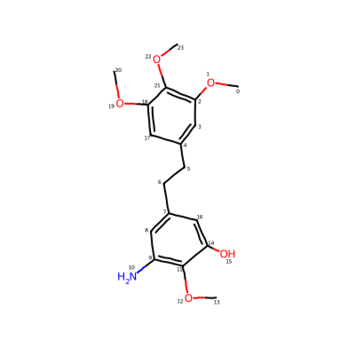 COc1cc(CCc2cc(N)c(OC)c(O)c2)cc(OC)c1OC